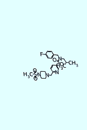 CC(C)CN(Cc1ccc(F)cc1)S(=O)(=O)c1ccc(CN2CCN(S(C)(=O)=O)CC2)nc1